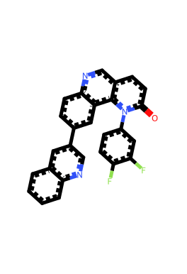 O=c1ccc2cnc3ccc(-c4cnc5ccccc5c4)cc3c2n1-c1ccc(F)c(F)c1